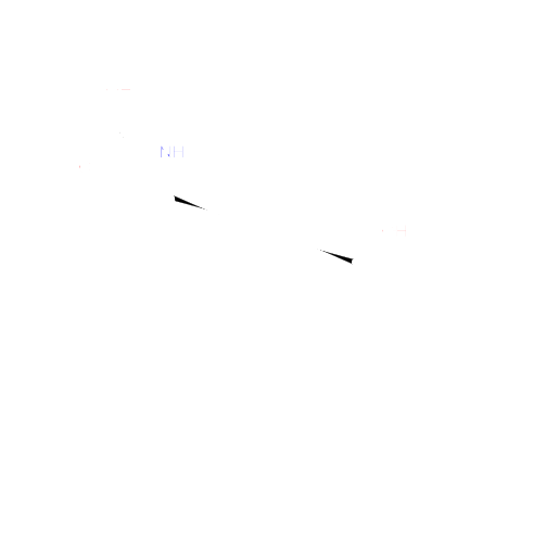 O=C(O)NC[C@H]1CC[C@@H](C(O)CCc2ccccc2)CC1